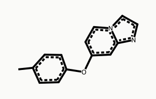 Cc1ccc(Oc2ccn3ccnc3c2)cc1